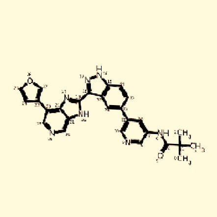 CC(C)(C)C(=O)Nc1cncc(-c2ccc3[nH]nc(-c4nc5c(-c6ccoc6)cncc5[nH]4)c3c2)c1